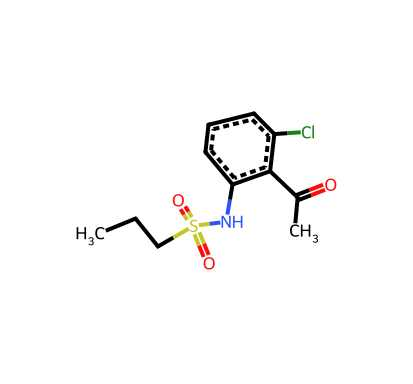 CCCS(=O)(=O)Nc1cccc(Cl)c1C(C)=O